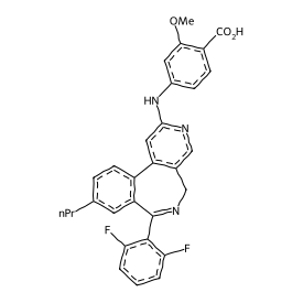 CCCc1ccc2c(c1)C(c1c(F)cccc1F)=NCc1cnc(Nc3ccc(C(=O)O)c(OC)c3)cc1-2